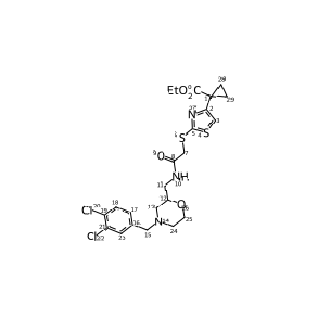 CCOC(=O)C1(c2csc(SCC(=O)NCC3CN(Cc4ccc(Cl)c(Cl)c4)CCO3)n2)CC1